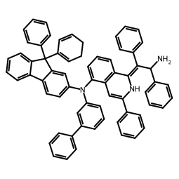 NC(/C(=C1\NC(c2ccccc2)=Cc2c1cccc2N(c1cccc(-c2ccccc2)c1)c1ccc2c(c1)C(C1=CCCC=C1)(c1ccccc1)c1ccccc1-2)c1ccccc1)c1ccccc1